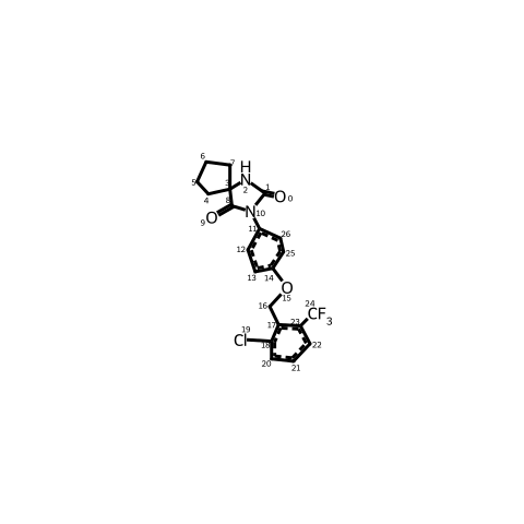 O=C1NC2(CCCC2)C(=O)N1c1ccc(OCc2c(Cl)cccc2C(F)(F)F)cc1